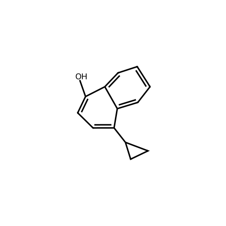 Oc1ccc(C2CC2)c2ccccc12